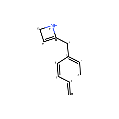 C=C/C=C\C(=C/C)CC1=CCN1